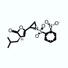 CC(C)C[C@@H]1C=C(C2C[N@]2S(=O)(=O)c2ccccc2[N+](=O)[O-])OC1=O